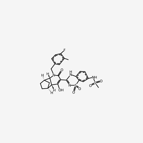 Cc1cc(CN2C(=O)C(C3=NS(=O)(=O)c4cc(NS(C)(=O)=O)ccc4N3)=C(O)[C@@H]3[C@H]4CC[C@H](C4)[C@@H]32)ccc1F